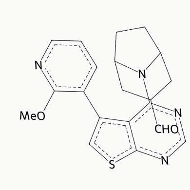 COc1ncccc1-c1csc2ncnc(N3C4CCC3CC(C=O)C4)c12